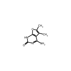 Cc1oc2[nH]c(=O)nc(N)c2c1C